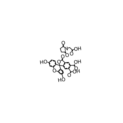 O=C(O)CN1C(=O)CCC1=O.O=C(O)c1cc2c(cc1C(=O)O)C1(OC2=O)c2ccc(O)cc2Oc2cc(O)ccc21